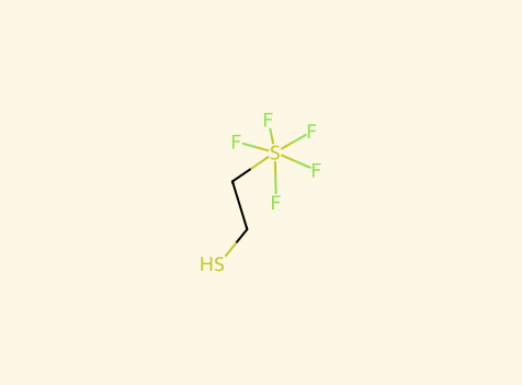 FS(F)(F)(F)(F)CCS